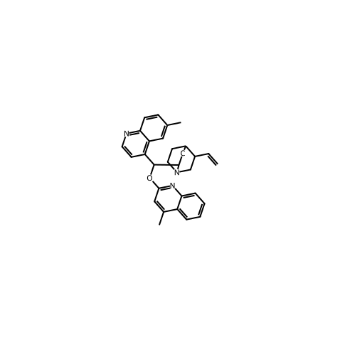 C=CC1CN2CCC1CC2C(Oc1cc(C)c2ccccc2n1)c1ccnc2ccc(C)cc12